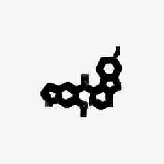 COc1cn2nccc2cc1Nc1ncnc2sc3c(c12)CC[C@H](I)C3